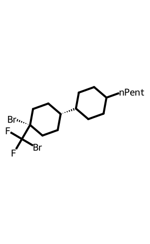 CCCCCC1CCC([C@H]2CC[C@](Br)(C(F)(F)Br)CC2)CC1